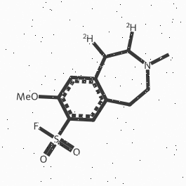 [2H]C1c2cc(OC)c(S(=O)(=O)F)cc2CCN(C)C1[2H]